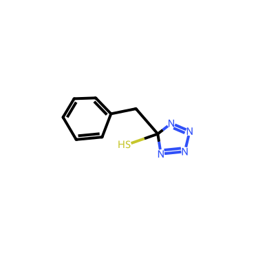 SC1(Cc2ccccc2)N=NN=N1